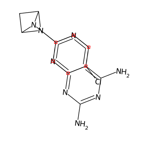 Nc1nc(N)c2cnc(N3C4CC3N4c3ccc(Cl)cc3)nc2n1